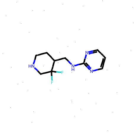 FC1(F)CNCCC1CNc1ncccn1